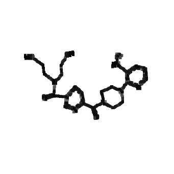 CC(C)Nc1cccnc1N1CCN(C(=O)c2ccc(C(=O)N(CCO)CCO)cn2)CC1